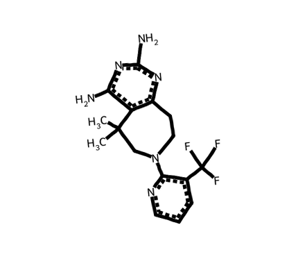 CC1(C)CN(c2ncccc2C(F)(F)F)CCc2nc(N)nc(N)c21